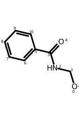 [O]CNC(=O)c1ccccc1